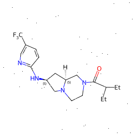 CCC(CC)C(=O)N1CCN2C[C@@H](Nc3ccc(C(F)(F)F)cn3)C[C@H]2C1